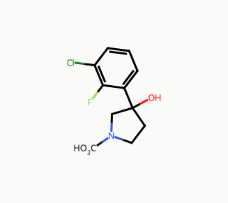 O=C(O)N1CCC(O)(c2cccc(Cl)c2F)C1